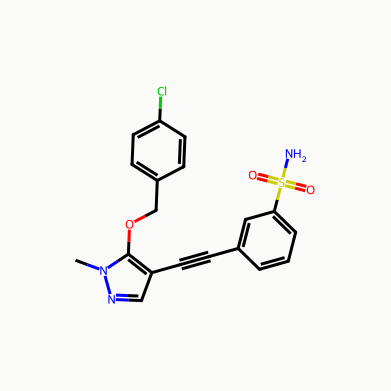 Cn1ncc(C#Cc2cccc(S(N)(=O)=O)c2)c1OCc1ccc(Cl)cc1